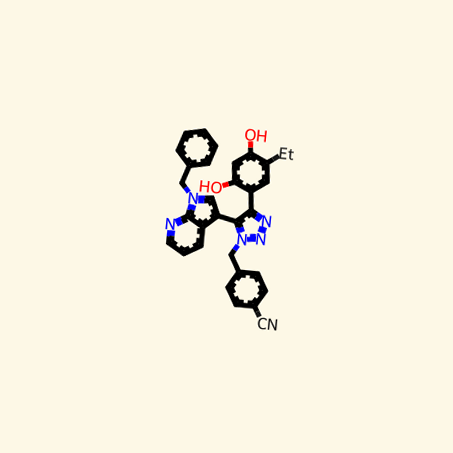 CCc1cc(-c2nnn(Cc3ccc(C#N)cc3)c2-c2cn(Cc3ccccc3)c3ncccc23)c(O)cc1O